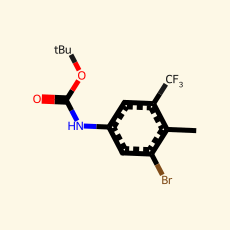 Cc1c(Br)cc(NC(=O)OC(C)(C)C)cc1C(F)(F)F